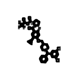 O=C(OC(=O)C(F)(F)F)[C@@H]1CCCN1C(=O)c1cc(C2CC2)c(OCC2CCN(C(c3ccccc3)c3cc(Cl)cc(Cl)c3)CC2)cc1F